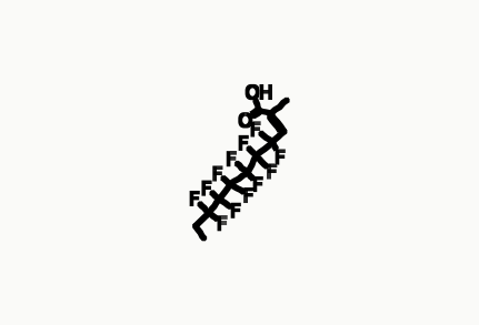 CCC(F)(F)C(F)(F)C(F)(F)C(F)(F)C(F)(F)C(F)(F)C=C(C)C(=O)O